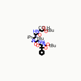 C/C(=C\[C@H](C(C)C)N(C)C(=O)[C@@H](NC(=O)[C@@H](N(C)C(=O)OC(C)(C)C)C(C)(C)c1ccccc1)C(C)(C)C)C(=O)N[C@H](CC(=O)OC(C)(C)C)C(=O)O